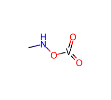 CN[O][V](=[O])=[O]